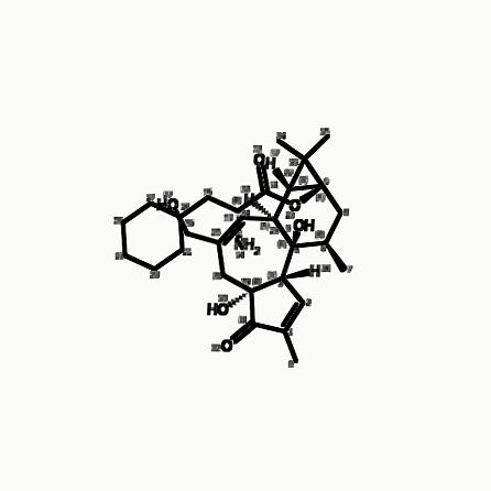 CC1=C[C@H]2[C@@]3(O)[C@H](C)C[C@]4(OC(=O)[C@H](N)CC5CCCCC5)[C@H]([C@@H]3C=C(CO)C[C@]2(O)C1=O)C4(C)C